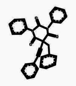 O=C1N(c2ccccc2)C(=O)C(C#Cc2ccccc2)(Cc2ccccc2)C(=O)N1c1ccccc1